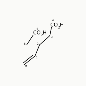 C=CCCC(=O)O.CC(=O)O